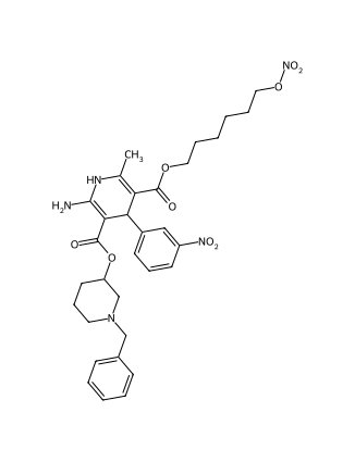 CC1=C(C(=O)OCCCCCCO[N+](=O)[O-])C(c2cccc([N+](=O)[O-])c2)C(C(=O)OC2CCCN(Cc3ccccc3)C2)=C(N)N1